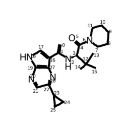 C=C(N[C@@H](C(=O)N1CCCCC1)C(C)(C)C)c1c[nH]c2ncc(C3CC3)nc12